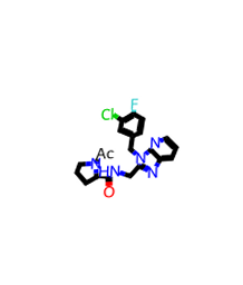 CC(=O)N1CCC[C@@H]1C(=O)NCc1nc2cccnc2n1Cc1ccc(F)c(Cl)c1